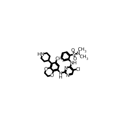 Cc1cc(Nc2ncc(Cl)c(Nc3ccccc3S(=O)(=O)N(C)C)n2)c2c(c1C1CCNCC1)OCCO2